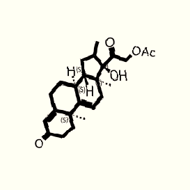 CC(=O)OCC(=O)[C@@]1(O)C(C)C[C@H]2[C@@H]3CCC4=CC(=O)CC[C@]4(C)C3=CC[C@@]21C